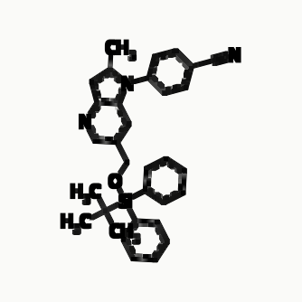 Cc1cc2ncc(CO[Si](c3ccccc3)(c3ccccc3)C(C)(C)C)cc2n1-c1ccc(C#N)cc1